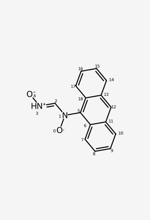 [O]N(C=[NH+][O-])c1c2ccccc2cc2ccccc12